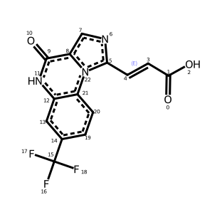 O=C(O)/C=C/c1ncc2c(=O)[nH]c3cc(C(F)(F)F)ccc3n12